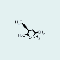 C=C(N)C[C@H](C#CC)C(C)=O